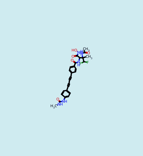 CNC(=O)Nc1ccc(C#CC#Cc2ccc(C(=O)NC(C(=O)NO)C(C)(NC(C)=O)C(F)F)cc2)cc1